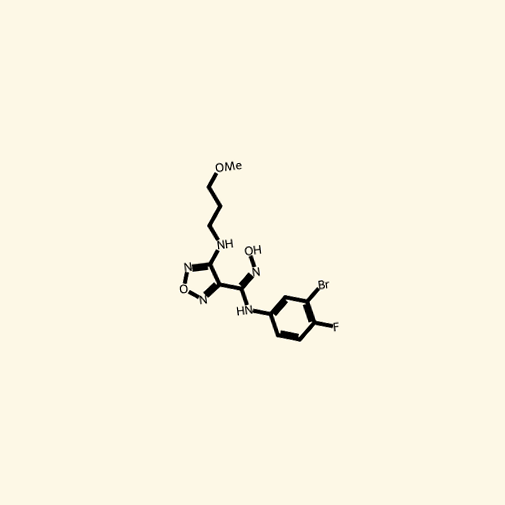 COCCCNc1nonc1C(=NO)Nc1ccc(F)c(Br)c1